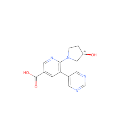 O=C(O)c1cnc(N2CC[C@@H](O)C2)c(-c2cncnc2)c1